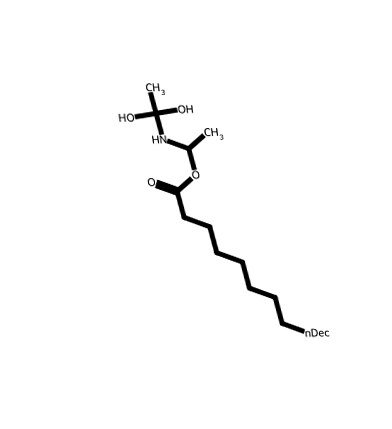 CCCCCCCCCCCCCCCCCC(=O)OC(C)NC(C)(O)O